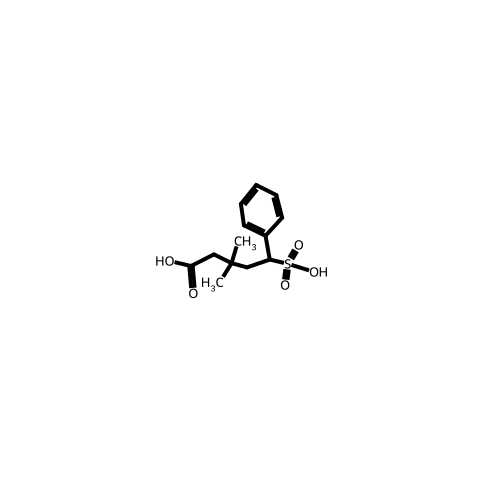 CC(C)(CC(=O)O)CC(c1ccccc1)S(=O)(=O)O